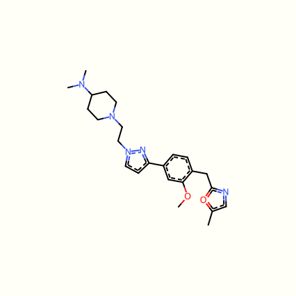 COc1cc(-c2ccn(CCN3CCC(N(C)C)CC3)n2)ccc1Cc1ncc(C)o1